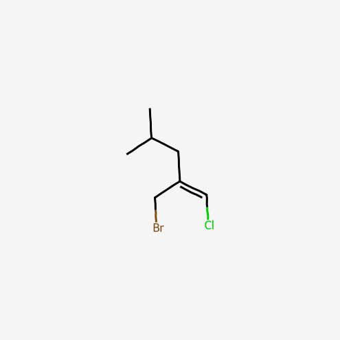 CC(C)CC(=CCl)CBr